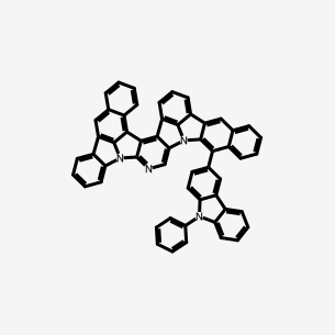 c1ccc(-n2c3ccccc3c3cc(-c4c5ccccc5cc5c6cccc7c8c9c%10c%11ccccc%11cc%11c%12ccccc%12n(c9ncc8n(c45)c67)c%11%10)ccc32)cc1